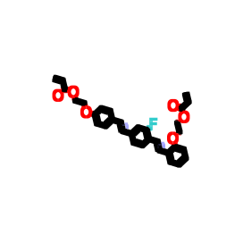 C=CC(=O)OCCOc1ccc(/C=C/c2ccc(/C=C/c3ccccc3OCCOC(=O)C=C)c(F)c2)cc1